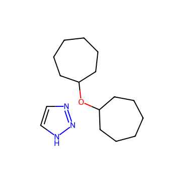 C1CCCC(OC2CCCCCC2)CC1.c1c[nH]nn1